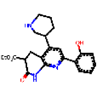 CCOC(=O)C1Cc2c(C3CCCNC3)cc(-c3ccccc3O)nc2NC1=O